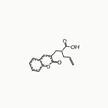 C=CCC(Cc1cc2ccccc2oc1=O)C(=O)O